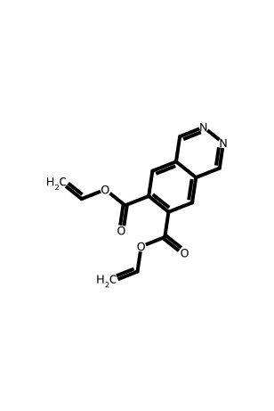 C=COC(=O)c1cc2cnncc2cc1C(=O)OC=C